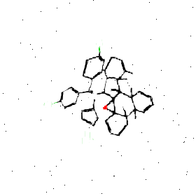 CC1=CC=CC2[CH]([Zr]([C]3=CC=CC3)=[C](c3ccc(Cl)cc3)c3ccc(Cl)cc3)C3(C)C4(C)C=CC=CC4(C)C4(C)C=CC=CC4(C)C3(C)C12C.Cl.Cl